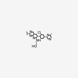 CSc1ncc2cc(-c3ccc(-c4cncc(C)n4)cc3Cl)c(NCCO)nc2n1